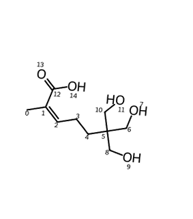 CC(=CCCC(CO)(CO)CO)C(=O)O